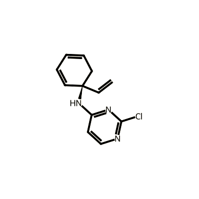 C=C[C@]1(Nc2ccnc(Cl)n2)C=CC=CC1